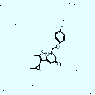 CC1=C(C2CC2C)C2=CC(=O)CN(COc3ccc(F)cc3)N2S1